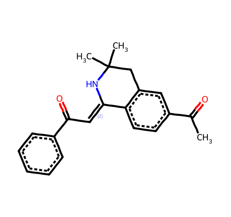 CC(=O)c1ccc2c(c1)CC(C)(C)N/C2=C\C(=O)c1ccccc1